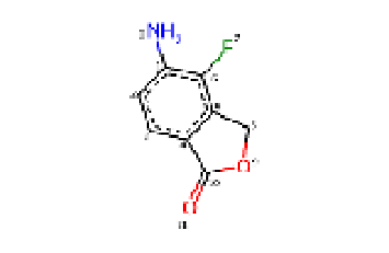 Nc1ccc2c(c1F)COC2=O